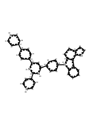 c1ccc2c(c1)c1c3sccc3ccc1n2-c1ccc(-c2cc(-c3ccc(-c4ccncc4)cc3)nc(-c3ccncc3)n2)cc1